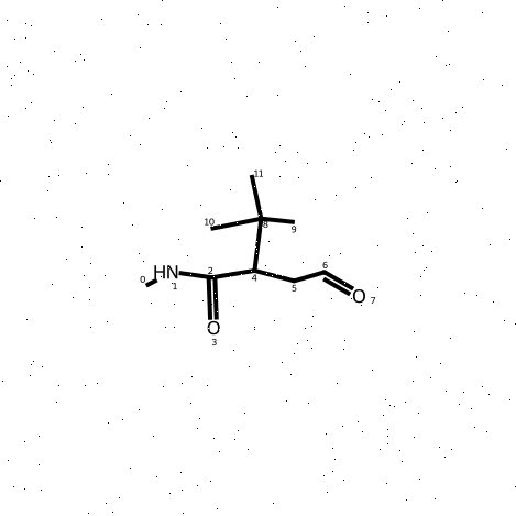 CNC(=O)C(CC=O)C(C)(C)C